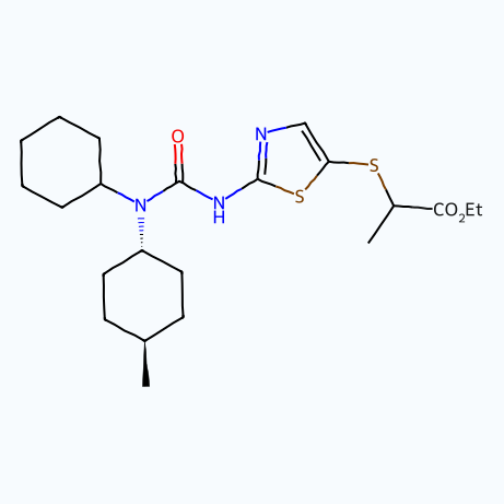 CCOC(=O)C(C)Sc1cnc(NC(=O)N(C2CCCCC2)[C@H]2CC[C@H](C)CC2)s1